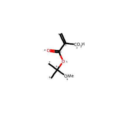 C=C(C(=O)O)C(=O)OC(C)(C)OC